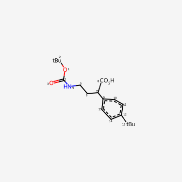 CC(C)(C)OC(=O)NCCC(C(=O)O)c1ccc(C(C)(C)C)cc1